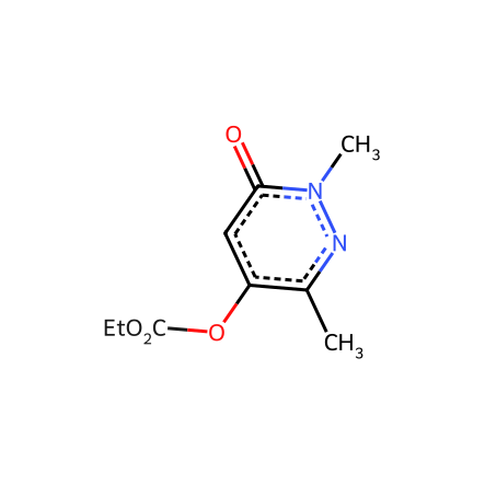 CCOC(=O)Oc1cc(=O)n(C)nc1C